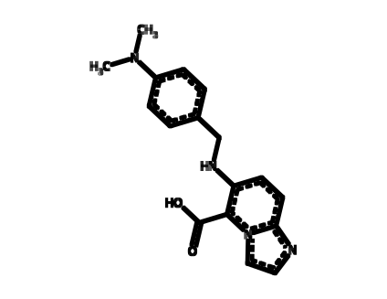 CN(C)c1ccc(CNc2ccc3nccn3c2C(=O)O)cc1